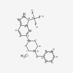 C[C@@H]1CN(C2=NN3C(=NNC3C(F)(F)F)C=C2)CCN1Cc1cccnc1